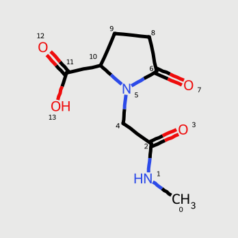 CNC(=O)CN1C(=O)CCC1C(=O)O